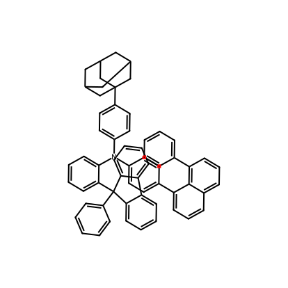 c1ccc(-c2cccc3cccc(-c4ccc(N(c5ccc(C67CC8CC(CC(C8)C6)C7)cc5)c5ccccc5C5(c6ccccc6)c6ccccc6-c6ccccc65)cc4)c23)cc1